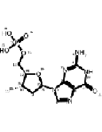 Nc1nc2c(ncn2[C@H]2C[C@H](F)[C@@H](COP(=O)(O)O)O2)c(=O)[nH]1